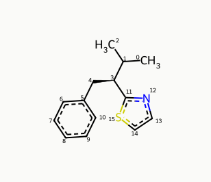 CC(C)[C@H](Cc1ccccc1)c1nccs1